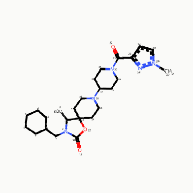 CCCCC1N(CC2CCCCC2)C(=O)OC12CCN(C1CCN(C(=O)c3ccn(C)n3)CC1)CC2